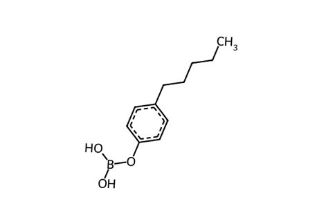 CCCCCc1ccc(OB(O)O)cc1